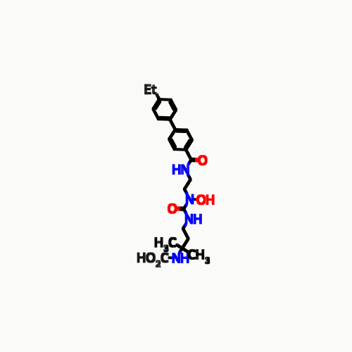 CCc1ccc(-c2ccc(C(=O)NCCN(O)C(=O)NCCC(C)(C)NC(=O)O)cc2)cc1